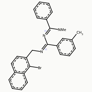 CN/C(=N\C(=N/Cc1ccc2ccccc2c1Br)c1cccc(C)c1)c1ccccc1